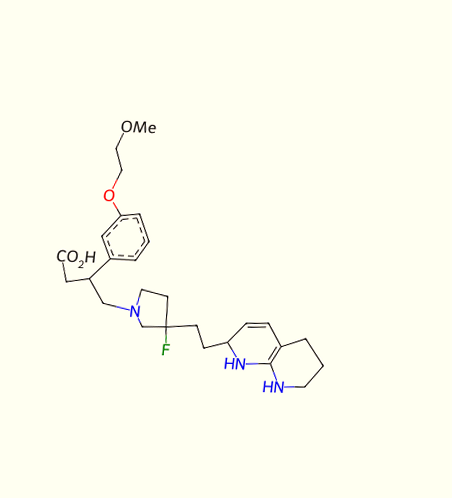 COCCOc1cccc(C(CC(=O)O)CN2CCC(F)(CCC3C=CC4=C(NCCC4)N3)C2)c1